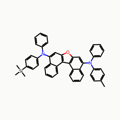 Cc1ccc(N(c2ccccc2)c2cc3oc4cc(N(c5ccccc5)c5ccc([Si](C)(C)C)cc5)c5ccccc5c4c3c3ccccc23)cc1